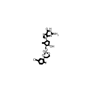 C=C1[C@H](CO[P@]2(=O)OCC[C@H](c3cc(Cl)ccc3F)O2)[C@@H](O)C[C@@H]1n1cnc2c(=O)[nH]c(N)nc21